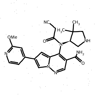 COc1cc(-c2cc3c(N(C(=O)CC#N)[C@@H]4CNCC4(C)C)c(C(N)=O)cnn3c2)ccn1